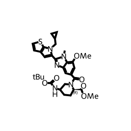 COC(=O)[C@H]1CCC(NC(=O)OC(C)(C)C)CN1C(=O)c1cc(OC)c2c(c1)nc(-c1cc3ccsc3n1CC1CC1)n2C